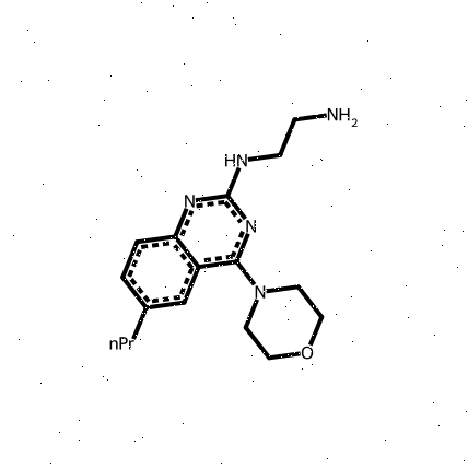 CCCc1ccc2nc(NCCN)nc(N3CCOCC3)c2c1